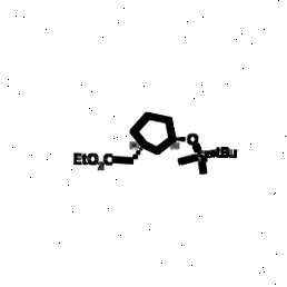 CCOC(=O)C[C@@H]1CCC[C@H](O[Si](C)(C)C(C)(C)C)C1